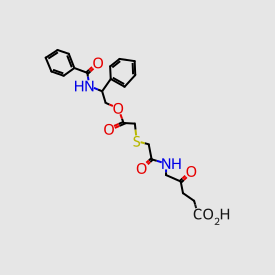 O=C(O)CCC(=O)CNC(=O)CSCC(=O)OCC(NC(=O)c1ccccc1)c1ccccc1